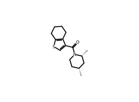 C[C@@H]1CCN(C(=O)c2csc3c2CCCC3)[C@H](C)C1